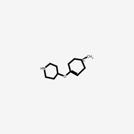 C[C@H]1CC=C(OC2CCNCC2)CC1